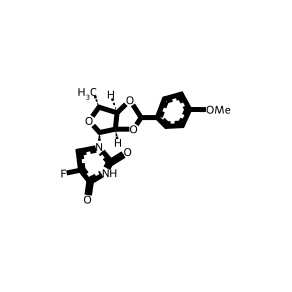 COc1ccc(C2O[C@@H]3[C@H](O2)[C@@H](C)O[C@H]3n2cc(F)c(=O)[nH]c2=O)cc1